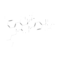 CCC(C)CCn1c(=O)c(C2=NP(=O)(OC)c3cc(NS(C)(=O)=O)ccc3N2)c(O)c2cc(F)ccc21